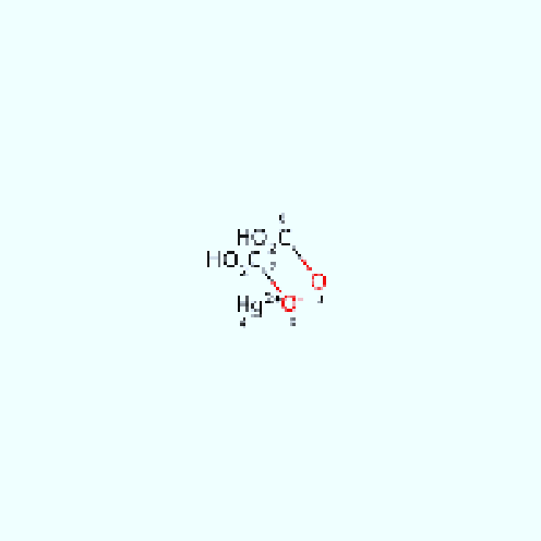 O=C([O-])O.O=C([O-])O.[Hg+2]